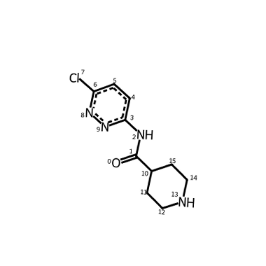 O=C(Nc1ccc(Cl)nn1)C1CCNCC1